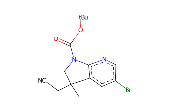 CC(C)(C)OC(=O)N1CC(C)(CC#N)c2cc(Br)cnc21